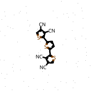 N#Cc1csc(-c2ccc(-c3scc(C#N)c3C#N)s2)c1C#N